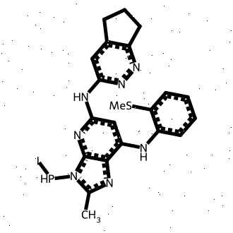 CSc1ccccc1Nc1cc(Nc2cc3c(nn2)CCC3)nc2c1nc(C)n2PI